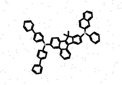 CC1(C)c2cc(N(c3ccccc3)c3ccc4ccccc4c3)ccc2-c2c1c1ccc(N(c3ccc(-c4ccccc4)cc3)c3ccc(-c4ccccc4)cc3)cc1c1ccccc21